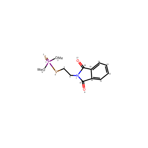 COP(=S)(OC)SCCN1C(=O)c2ccccc2C1=O